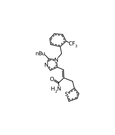 CCCCc1ncc(C=C(Cc2cccs2)C(N)=O)n1Cc1ccccc1C(F)(F)F